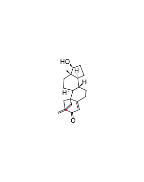 C=C=C[C@]12CCC(=O)C=C1CC[C@H]1[C@@H]3CC[C@H](O)[C@@]3(C)CC[C@@H]12